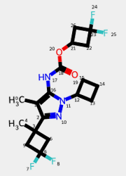 Cc1c(C2(C)CC(F)(F)C2)nn(C2CCC2)c1NC(=O)OC1CC(F)(F)C1